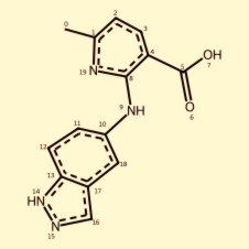 Cc1ccc(C(=O)O)c(Nc2ccc3[nH]ncc3c2)n1